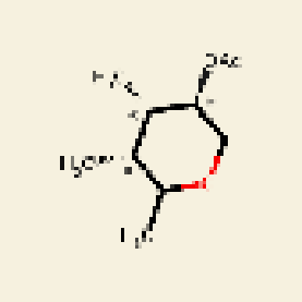 CC(=O)O[C@H]1COC(C)[C@H](C)[C@@H]1C